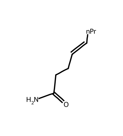 CCCC=CCCC(N)=O